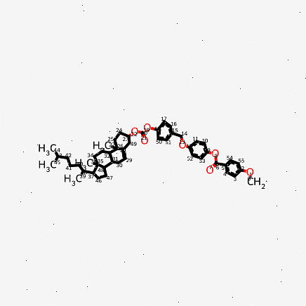 [CH2]Oc1ccc(C(=O)Oc2ccc(OCc3ccc(OC(=O)OC4CCC5(C)C(=CCC6C5CCC5(C)C(C(C)CCCC(C)C)CCC65)C4)cc3)cc2)cc1